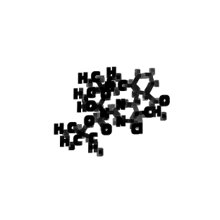 Cc1cccc(C=O)c1-c1nc(N(C(=O)OC(C)(C)C)C(O)OC(C)(C)C)nc(Cl)c1C